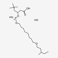 CCC(C)CCOCCCCCCCCO[P@](O)OC(CC(=O)O)C[N+](C)(C)C.[OH-]